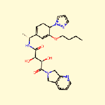 CCCCOC1=CC([C@@H](C)NC(=O)[C@H](O)[C@@H](O)C(=O)N2Cc3cccnc3C2)=CCC1n1cccn1